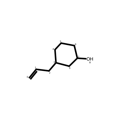 C=CCC1CCCC(O)C1